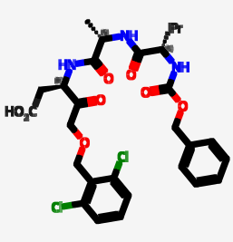 CC(C)[C@H](NC(=O)OCc1ccccc1)C(=O)N[C@@H](C)C(=O)N[C@H](CC(=O)O)C(=O)COCc1c(Cl)cccc1Cl